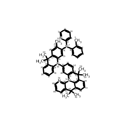 Cc1ccccc1N(c1ccccn1)c1cc2c(cc1C)C(C)(C)c1ccccc1N2c1ccc2c(c1)N1c3ncccc3C(C)(C)c3cccc(c31)C2(C)C